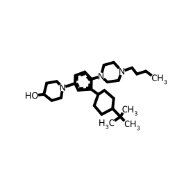 CCCCN1CCN(c2ccc(N3CCC(O)CC3)cc2C2CCC(C(C)(C)C)CC2)CC1